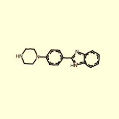 c1ccc2[nH]c(-c3ccc(N4CCNCC4)cc3)nc2c1